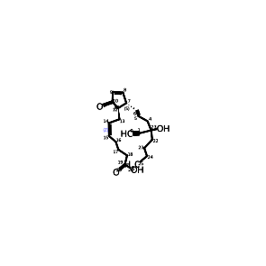 C#CC(O)(CC=C[C@H]1C=CC(=O)[C@@H]1C/C=C\CCCC(=O)O)CCCC